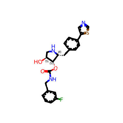 O=C(NCc1cccc(F)c1)O[C@@H]1[C@@H](O)CN[C@@H]1Cc1ccc(-c2cncs2)cc1